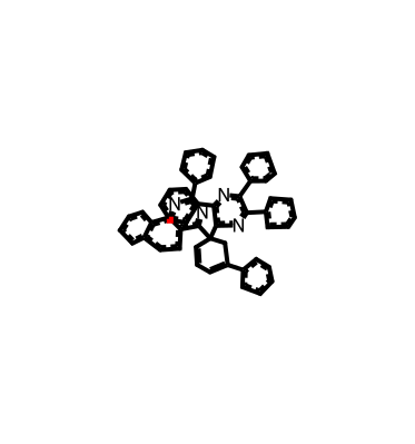 C1=CC(c2nc(-c3ccccc3)c(-c3ccccc3)nc2-c2ccccc2)(c2nc(-c3ccccc3)nc3c2ccc2ccccc23)CC(c2ccccc2)=C1